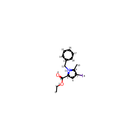 CCOC(=O)c1cc(I)c(C)n1Cc1ccccc1